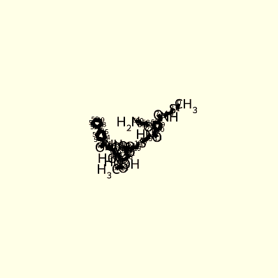 CCSCCNC(=O)c1ccc(C(=O)NCCSCCCO[C@]2(C(=O)O)C[C@H](O)[C@@H](NC(C)=O)[C@H]([C@H](O)[C@H](O)CNC(=O)c3ccc(-c4ccccc4)cc3)O2)c(OCCCN)c1